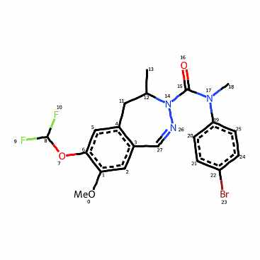 COc1cc2c(cc1OC(F)F)CC(C)N(C(=O)N(C)c1ccc(Br)cc1)N=C2